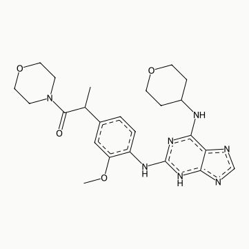 COc1cc(C(C)C(=O)N2CCOCC2)ccc1Nc1nc(NC2CCOCC2)c2ncnc-2[nH]1